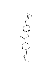 C=CCc1ccc(OC(=O)[C@H]2CC[C@H](CC=C)CC2)cc1